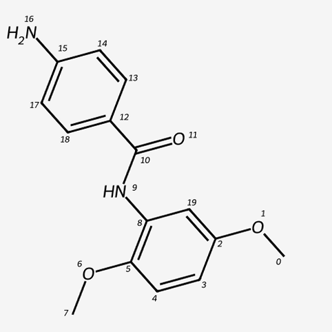 COc1ccc(OC)c(NC(=O)c2ccc(N)cc2)c1